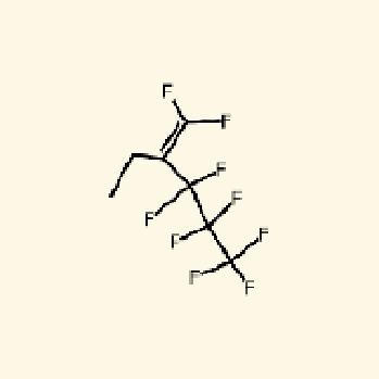 CCC(=C(F)F)C(F)(F)C(F)(F)C(F)(F)F